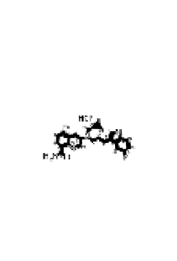 Cl.NC(=O)c1ccc(F)c2c1OCC(N(CCCc1c[nH]c3ccc(F)cc13)CC1CC1)C2